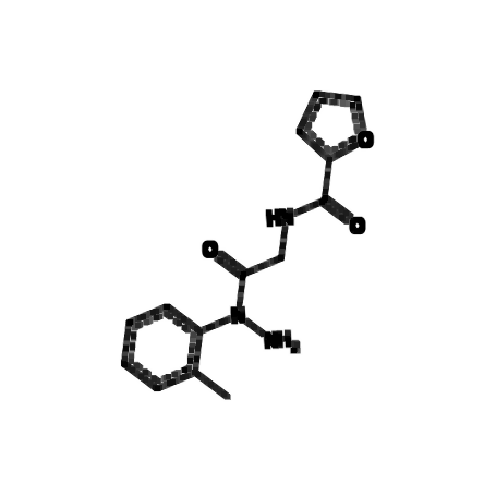 Cc1ccccc1N(N)C(=O)CNC(=O)c1ccco1